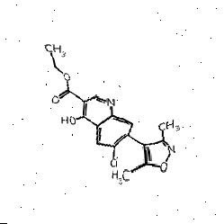 CCOC(=O)c1cnc2cc(-c3c(C)noc3C)c(Cl)cc2c1O